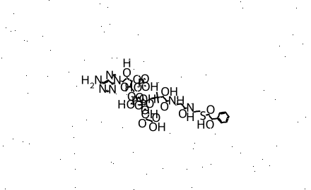 CC(C)(COP(=O)(O)OP(=O)(O)OC[C@H]1O[C@@H](n2cnc3c(N)ncnc32)[C@H](O)[C@@H]1OP(=O)(O)O)[C@@H](O)C(=O)NCCC(=O)NCCSC(=O)C(O)c1ccccc1.O=C(O)C(=O)O